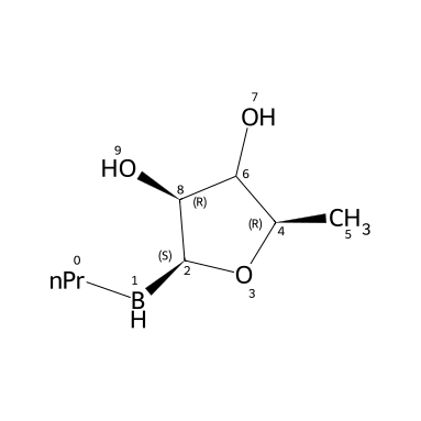 CCCB[C@@H]1O[C@H](C)C(O)[C@@H]1O